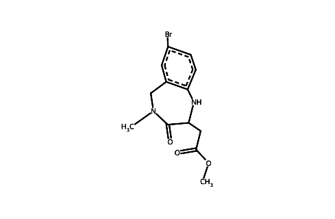 COC(=O)CC1Nc2ccc(Br)cc2CN(C)C1=O